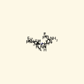 CC(C)N/C(=C\C(=N)c1cnc(N)c(OC(F)F)c1)[C@H]1[C@@H]2C[C@H](N3CC(F)(F)C3)C[C@@H]21